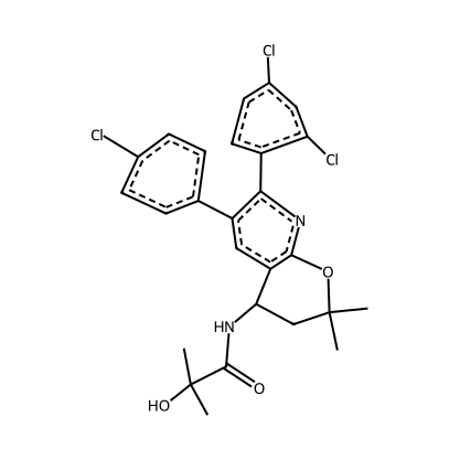 CC1(C)CC(NC(=O)C(C)(C)O)c2cc(-c3ccc(Cl)cc3)c(-c3ccc(Cl)cc3Cl)nc2O1